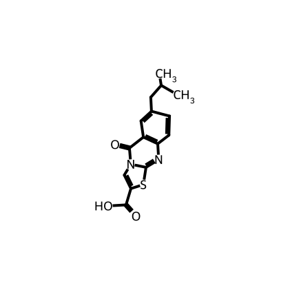 CC(C)Cc1ccc2nc3sc(C(=O)O)cn3c(=O)c2c1